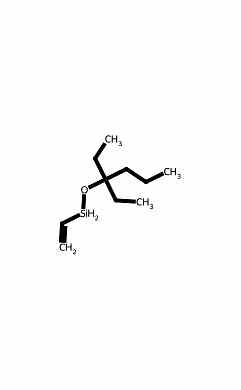 C=C[SiH2]OC(CC)(CC)CCC